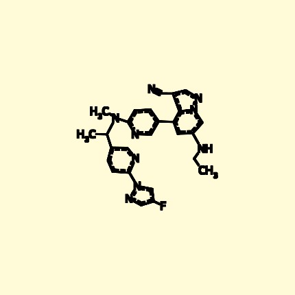 CCNc1cc(-c2ccc(N(C)C(C)c3ccc(-n4cc(F)cn4)nc3)nc2)c2c(C#N)cnn2c1